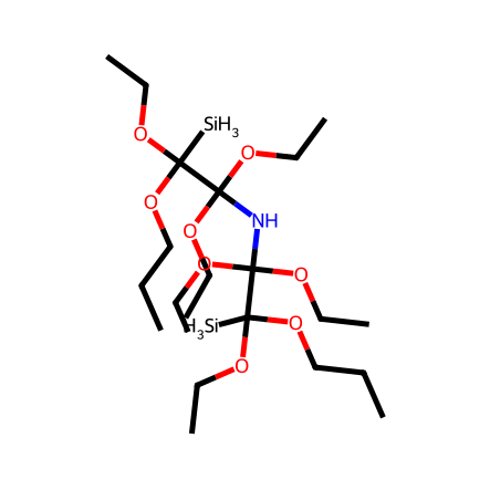 CCCOC([SiH3])(OCC)C(NC(OCC)(OCC)C([SiH3])(OCC)OCCC)(OCC)OCC